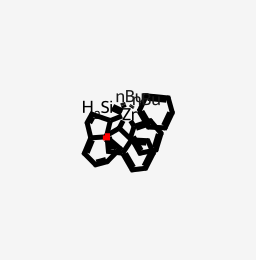 CCC[CH2][Zr](=[SiH2])([CH2]CCC)([c]1ccccc1)([c]1ccccc1)([CH]1C=Cc2ccccc21)[CH]1C=Cc2ccccc21